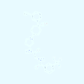 O=C(CNC(=O)c1cccc(C(F)(F)F)c1)N[C@@H]1CCN(C2CCC(O)(c3cccc(Br)c3)CC2)C1